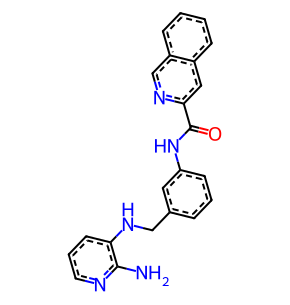 Nc1ncccc1NCc1cccc(NC(=O)c2cc3ccccc3cn2)c1